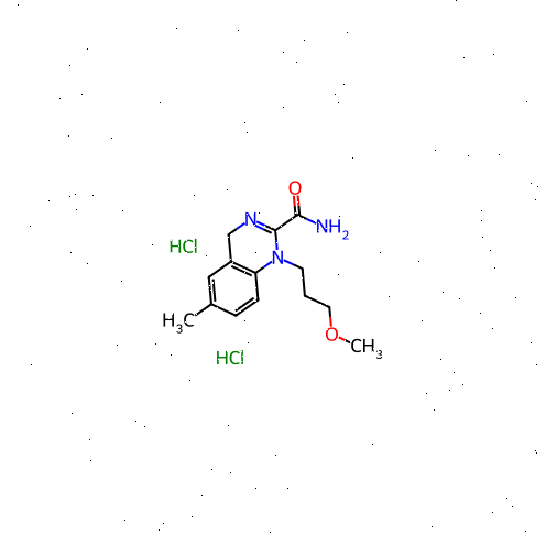 COCCCN1C(C(N)=O)=NCc2cc(C)ccc21.Cl.Cl